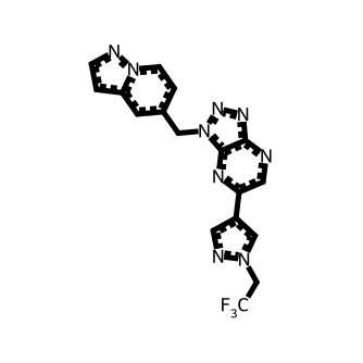 FC(F)(F)Cn1cc(-c2cnc3nnn(Cc4ccn5nccc5c4)c3n2)cn1